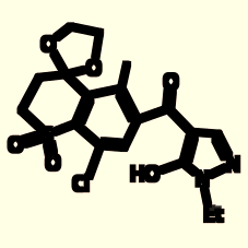 CCn1ncc(C(=O)c2cc(Cl)c3c(c2C)C2(CCS3(=O)=O)OCCO2)c1O